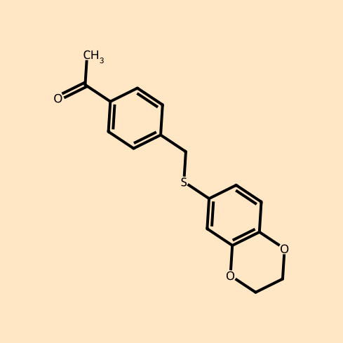 CC(=O)c1ccc(CSc2ccc3c(c2)OCCO3)cc1